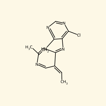 C=C(C)/N=C\C(=C/C)c1nc2c(Cl)ncnc2[nH]1